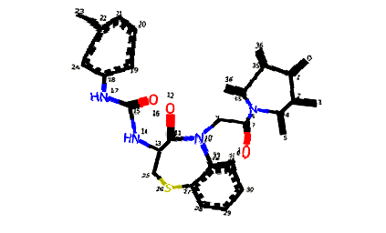 C=C1C(=C)C(=C)N(C(=O)CN2C(=O)C(NC(=O)Nc3cccc(C)c3)CSc3ccccc32)C(=C)C1=C